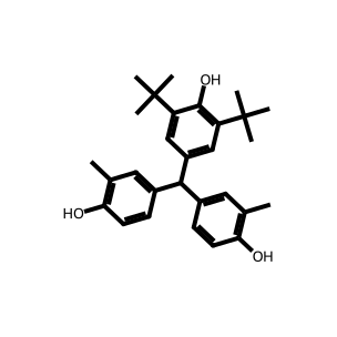 Cc1cc(C(c2ccc(O)c(C)c2)c2cc(C(C)(C)C)c(O)c(C(C)(C)C)c2)ccc1O